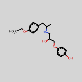 CC(Cc1ccc(OCC(=O)O)cc1)NCC(O)COc1ccc(O)cc1